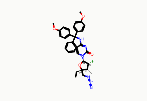 CC[C@@]1(CN=[N+]=[N-])O[C@@H](n2ccc(NC(c3ccccc3)(c3ccc(OC)cc3)c3ccc(OC)cc3)nc2=O)[C@H](F)[C@@H]1C